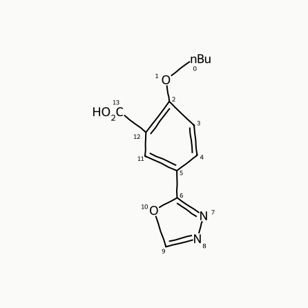 CCCCOc1ccc(-c2nnco2)cc1C(=O)O